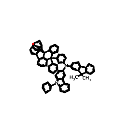 CC1(C)c2ccccc2-c2ccc(N(c3cccc(C4(c5ccccc5)c5ccccc5C5(c6ccccc6)c6ccccc6-c6cccc4c65)c3)c3ccc4c(c3)c3ccccc3n4-c3ccccc3)cc21